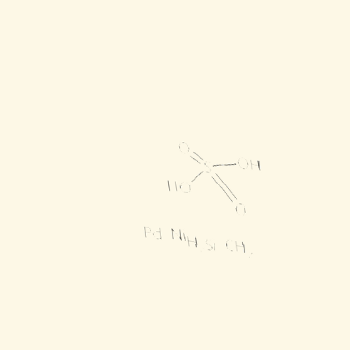 C.O=S(=O)(O)O.[Ni].[Pd].[SiH4]